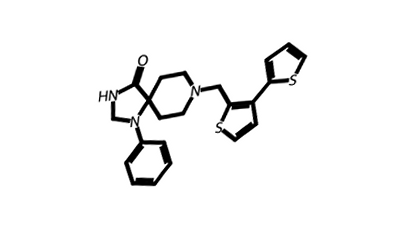 O=C1NCN(c2ccccc2)C12CCN(Cc1sccc1-c1cccs1)CC2